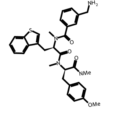 CNC(=O)[C@@H](Cc1ccc(OC)cc1)N(C)C(=O)[C@@H](Cc1csc2ccccc12)N(C)C(=O)c1cccc(CN)c1